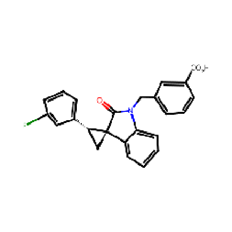 O=C(O)c1cccc(CN2C(=O)[C@]3(C[C@@H]3c3cccc(F)c3)c3ccccc32)c1